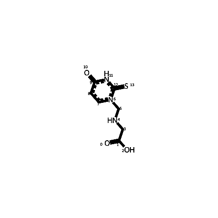 O=C(O)CNCn1ccc(=O)[nH]c1=S